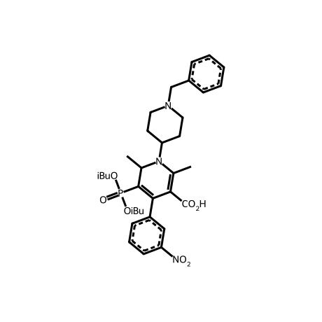 CC1=C(C(=O)O)C(c2cccc([N+](=O)[O-])c2)=C(P(=O)(OCC(C)C)OCC(C)C)C(C)N1C1CCN(Cc2ccccc2)CC1